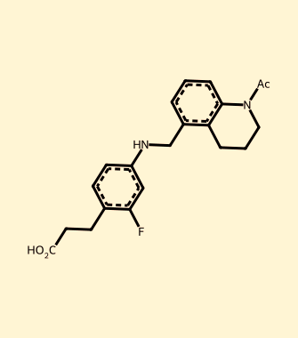 CC(=O)N1CCCc2c(CNc3ccc(CCC(=O)O)c(F)c3)cccc21